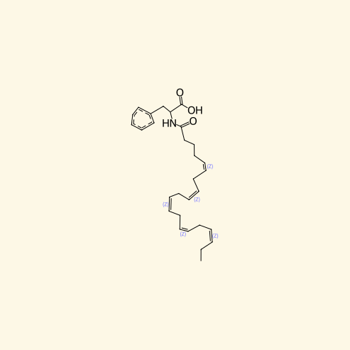 CC/C=C\C/C=C\C/C=C\C/C=C\C/C=C\CCCC(=O)NC(Cc1ccccc1)C(=O)O